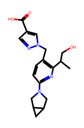 CC(CO)c1nc(N2CC3CC3C2)ccc1Cn1cc(C(=O)O)cn1